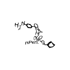 CCCCCN(C(=O)CCC(C)CNC(=O)c1ccc(CN)cc1)C(=O)COCc1ccccc1